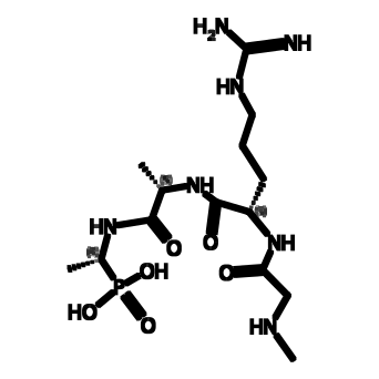 CNCC(=O)N[C@@H](CCCNC(=N)N)C(=O)N[C@@H](C)C(=O)N[C@@H](C)P(=O)(O)O